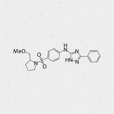 COCC1CCCN1S(=O)(=O)c1ccc(Nc2nc(-c3ccccc3)n[nH]2)cc1